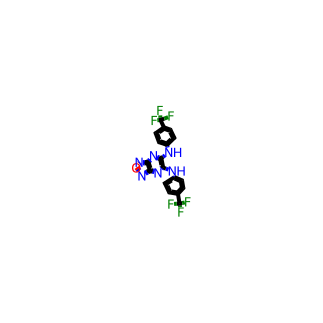 FC(F)(F)c1ccc(Nc2nc3nonc3nc2Nc2ccc(C(F)(F)F)cc2)cc1